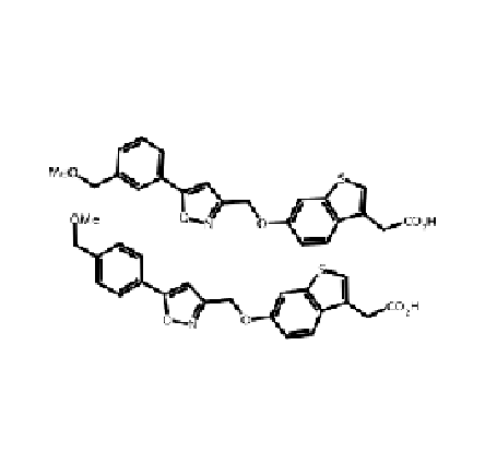 COCc1ccc(-c2cc(COc3ccc4c(CC(=O)O)csc4c3)no2)cc1.COCc1cccc(-c2cc(COc3ccc4c(CC(=O)O)csc4c3)no2)c1